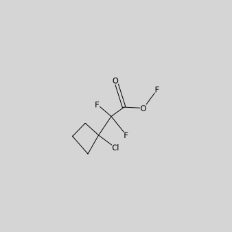 O=C(OF)C(F)(F)C1(Cl)CCC1